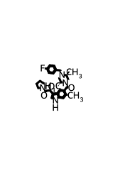 Cc1cc2[nH]cc(C(=O)C(=O)N3CCCC3)c2cc1C(=O)N1C[C@H](C)N(Cc2ccc(F)cc2)C[C@H]1C